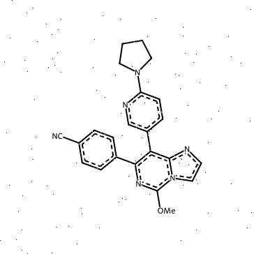 COc1nc(-c2ccc(C#N)cc2)c(-c2ccc(N3CCCC3)nc2)c2nccn12